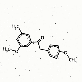 COc1ccc(CC(=O)c2cc(C)cc(OC)c2)cc1